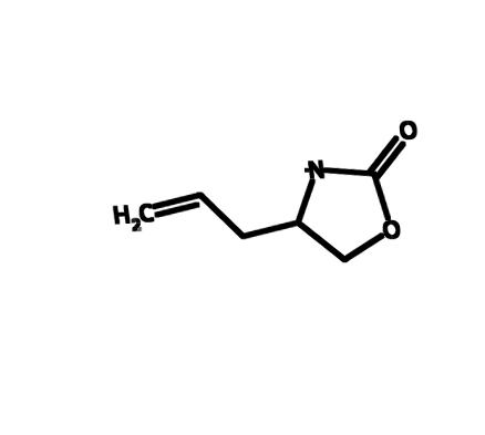 C=CCC1COC(=O)[N]1